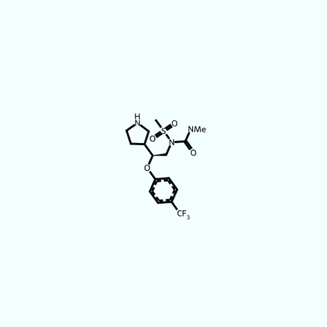 CNC(=O)N(C[C@@H](Oc1ccc(C(F)(F)F)cc1)C1CCNC1)S(C)(=O)=O